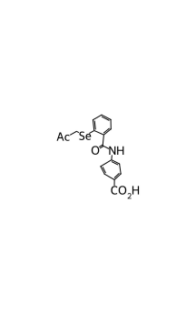 CC(=O)C[Se]c1ccccc1C(=O)Nc1ccc(C(=O)O)cc1